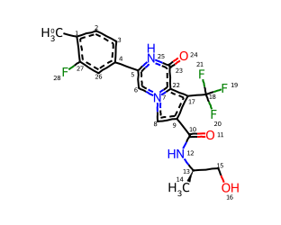 Cc1ccc(-c2cn3cc(C(=O)N[C@H](C)CO)c(C(F)(F)F)c3c(=O)[nH]2)cc1F